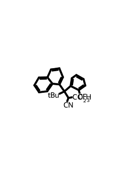 CC(C)(C)C(c1ccccc1C(F)(F)F)(c1cccc2ccccc12)C(C#N)C(=O)O